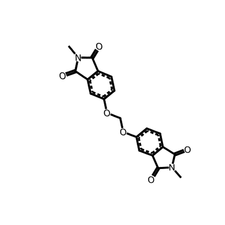 CN1C(=O)c2ccc(OCOc3ccc4c(c3)C(=O)N(C)C4=O)cc2C1=O